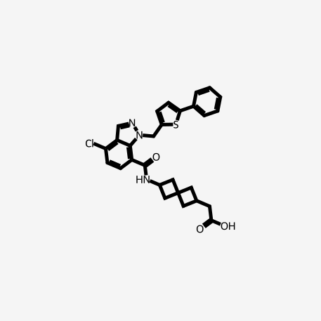 O=C(O)CC1CC2(C1)CC(NC(=O)c1ccc(Cl)c3cnn(Cc4ccc(-c5ccccc5)s4)c13)C2